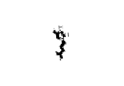 CC1=CN(CCCC(C)C)NN1